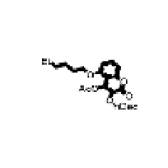 CC/C=C/CCOc1cccc2oc(=O)c(OCCCCCCCCCC)c(OC(C)=O)c12